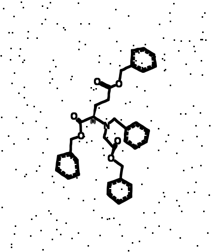 O=C(CC[C@H](C(=O)OCc1ccccc1)N(CC(=O)OCc1ccccc1)Cc1ccccc1)OCc1ccccc1